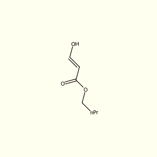 CCCCOC(=O)C=CO